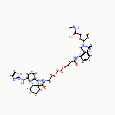 C=CC(CCC(=O)NC)N1Cc2c(NC(=O)CCOCCOCCNC(=O)C3(Cc4cccc(Nc5nccs5)n4)CCCCC3)cccc2C1=C